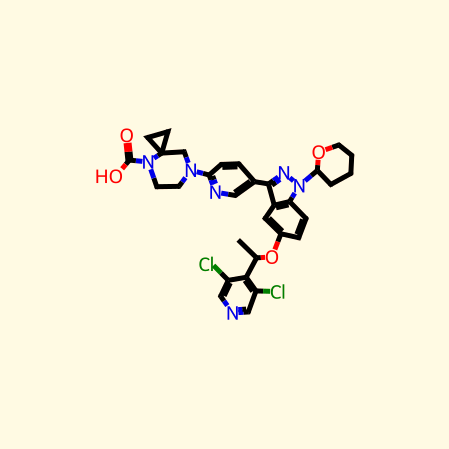 CC(Oc1ccc2c(c1)c(-c1ccc(N3CCN(C(=O)O)C4(CC4)C3)nc1)nn2C1CCCCO1)c1c(Cl)cncc1Cl